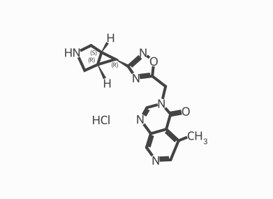 Cc1cncc2ncn(Cc3nc([C@H]4[C@@H]5CNC[C@@H]54)no3)c(=O)c12.Cl